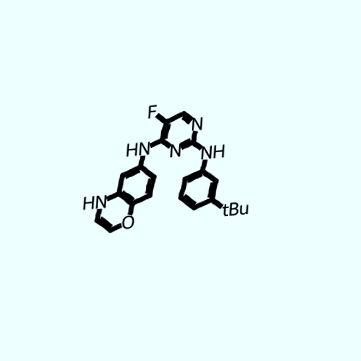 CC(C)(C)c1cccc(Nc2ncc(F)c(Nc3ccc4c(c3)NC=CO4)n2)c1